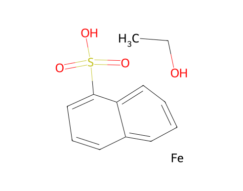 CCO.O=S(=O)(O)c1cccc2ccccc12.[Fe]